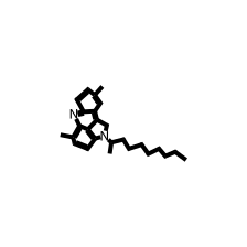 CCCCCCCCC(C)N1Cc2c3cc(C)ccc3nc3c(C)ccc1c23